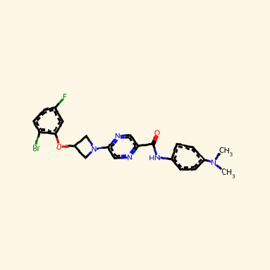 CN(C)c1ccc(NC(=O)c2cnc(N3CC(Oc4cc(F)ccc4Br)C3)cn2)cc1